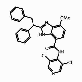 COc1ccc(C(=O)Nc2c(Cl)cncc2Cl)c2[nH]c([C@H](Cc3ccccc3)c3ccccc3)nc12